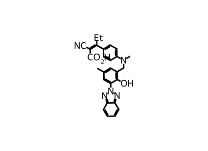 CCC(=C(C#N)C(=O)O)c1ccc(N(C)Cc2cc(C)cc(-n3nc4ccccc4n3)c2O)cc1